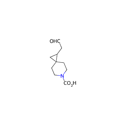 O=CCC1CC12CCN(C(=O)O)CC2